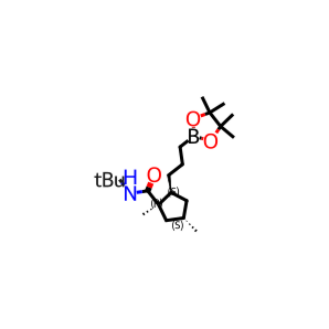 C[C@H]1C[C@H](CCCB2OC(C)(C)C(C)(C)O2)[C@](C)(C(=O)NC(C)(C)C)C1